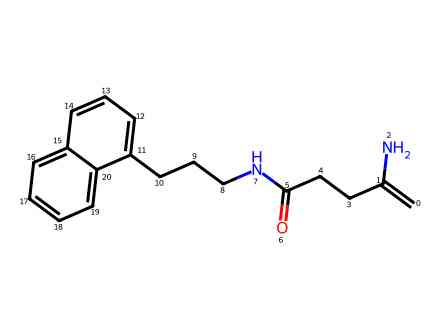 C=C(N)CCC(=O)NCCCc1cccc2ccccc12